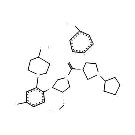 COC[C@H]1CN(C(=O)[C@@H]2CN(C3CCCC3)C[C@H]2c2ccc(OC)cc2)C[C@@H]1c1ccc(F)cc1N1CCC(C(=O)O)CC1